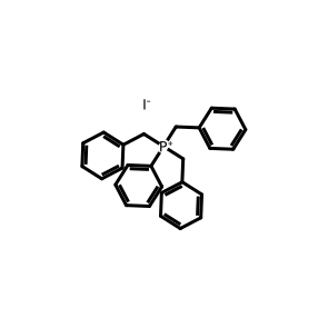 [I-].c1ccc(C[P+](Cc2ccccc2)(Cc2ccccc2)c2ccccc2)cc1